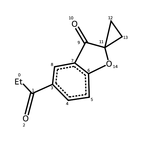 [CH2-][CH+]C(=O)c1ccc2c(c1)C(=O)C1(CC1)O2